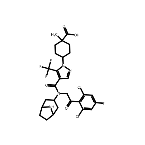 CC1(C(=O)O)CCC(n2ncc(C(=O)N(CC(=O)c3c(Cl)cc(F)cc3Cl)C3CC4CCC(C3)N4)c2C(F)(F)F)CC1